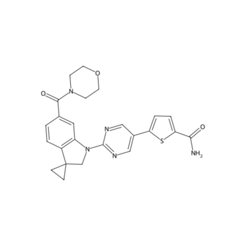 NC(=O)c1ccc(-c2cnc(N3CC4(CC4)c4ccc(C(=O)N5CCOCC5)cc43)nc2)s1